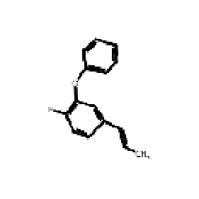 CC=Cc1ccc(F)c(Oc2ccccc2)c1